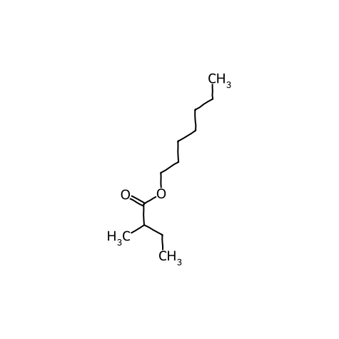 CCCCCCCOC(=O)C(C)CC